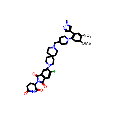 COc1cc(N2CCC(CN3CCC4(CC3)CCN(c3cc5c(cc3F)C(=O)N(C3CCC(=O)NC3=O)C5=O)CC4)CC2)c(-c2cnn(C)c2)cc1[N+](=O)[O-]